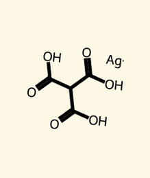 O=C(O)C(C(=O)O)C(=O)O.[Ag]